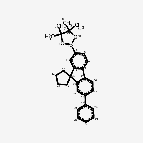 CC1(C)OB(c2ccc3c(c2)C2(CCCC2)c2cc(-c4ccccc4)ccc2-3)OC1(C)C